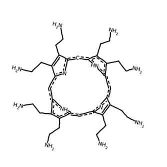 NCCC1=C(CCN)c2cc3[nH]c(cc4nc(cc5[nH]c(cc1n2)c(CCN)c5CCN)C(CCN)=C4CCN)c(CCN)c3CCN